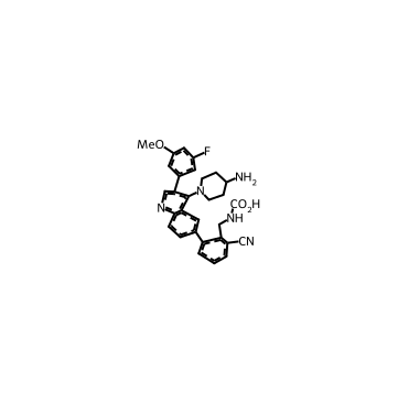 COc1cc(F)cc(-c2cnc3ccc(-c4cccc(C#N)c4CNC(=O)O)cc3c2N2CCC(N)CC2)c1